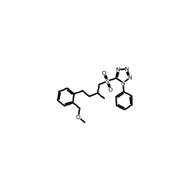 COCc1ccccc1CCC(C)CS(=O)(=O)c1nnnn1-c1ccccc1